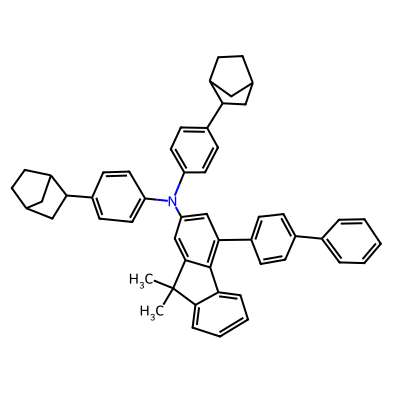 CC1(C)c2ccccc2-c2c(-c3ccc(-c4ccccc4)cc3)cc(N(c3ccc(C4CC5CCC4C5)cc3)c3ccc(C4CC5CCC4C5)cc3)cc21